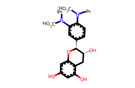 CC(C)N(C(=O)O)c1ccc([C@H]2Oc3cc(O)cc(O)c3C[C@H]2O)cc1N(C(=O)O)C(C)C